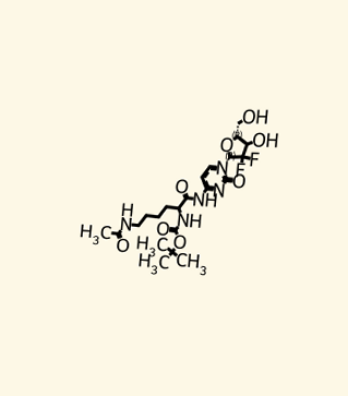 CC(=O)NCCCCC(NC(=O)OC(C)(C)C)C(=O)Nc1ccn([C@@H]2O[C@H](CO)C(O)C2(F)F)c(=O)n1